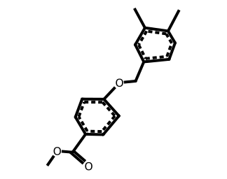 COC(=O)c1ccc(OCc2ccc(C)c(C)c2)cc1